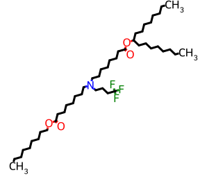 CCCCCCCCCOC(=O)CCCCCCCN(CCCCCCCC(=O)OC(CCCCCCCC)CCCCCCCC)CCCC(F)(F)F